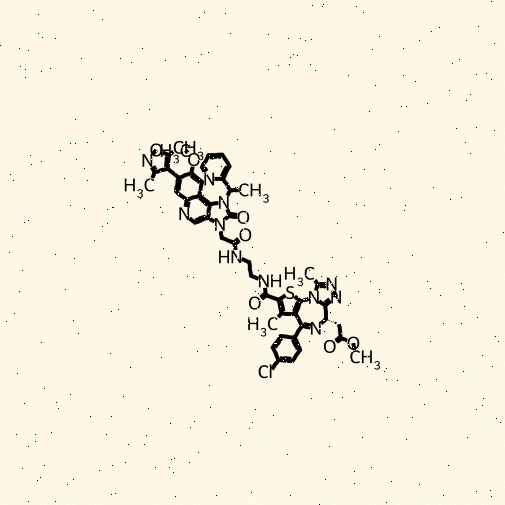 COC(=O)C[C@@H]1N=C(c2ccc(Cl)cc2)c2c(sc(C(=O)NCCNC(=O)Cn3c(=O)n(C(C)c4ccccn4)c4c5cc(OC)c(-c6c(C)noc6C)cc5ncc43)c2C)-n2c(C)nnc21